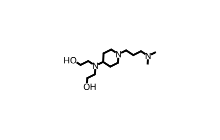 CN(C)CCCN1CCC(N(CCO)CCO)CC1